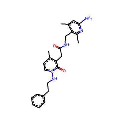 Cc1cc(N)nc(C)c1CNC(=O)Cc1c(C)ccn(NCCc2ccccc2)c1=O